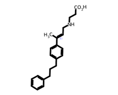 C/C(=C\CNCCC(=O)O)c1ccc(CCCc2ccccc2)cc1